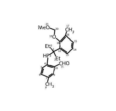 CCC(CC)(Pc1ccc(C)cc1C=O)c1cccc(C)c1OCOC